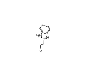 [O]CCc1nc2ccccc2[nH]1